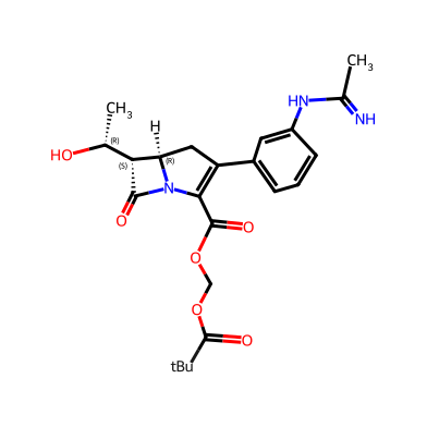 CC(=N)Nc1cccc(C2=C(C(=O)OCOC(=O)C(C)(C)C)N3C(=O)[C@H]([C@@H](C)O)[C@H]3C2)c1